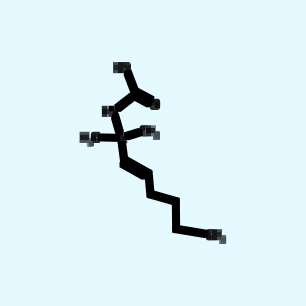 CCCCC=C[Si](C)(C)NC(=O)O